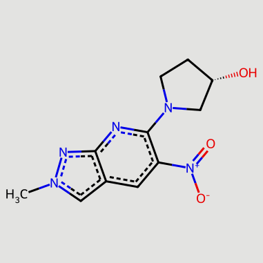 Cn1cc2cc([N+](=O)[O-])c(N3CC[C@H](O)C3)nc2n1